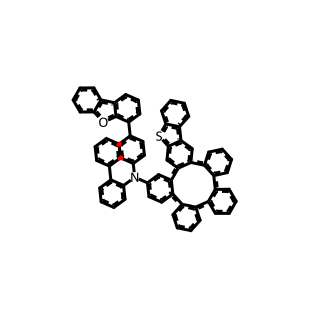 c1ccc(-c2ccccc2N(c2ccc(-c3cccc4c3oc3ccccc34)cc2)c2ccc3c4ccccc4c4ccccc4c4ccccc4c4cc5c(cc4c3c2)sc2ccccc25)cc1